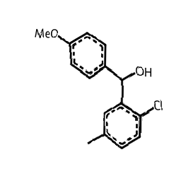 COc1ccc(C(O)c2cc(C)ccc2Cl)cc1